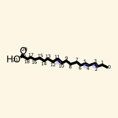 CC/C=C/C=C/CCCC/C=C/CCCCCCCC(=O)O